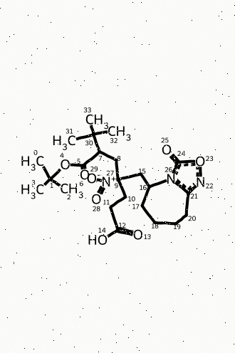 CC(C)(C)OC(=O)C(CC(CCC(=O)O)(CC1CCCCc2noc(=O)n21)[N+](=O)[O-])C(C)(C)C